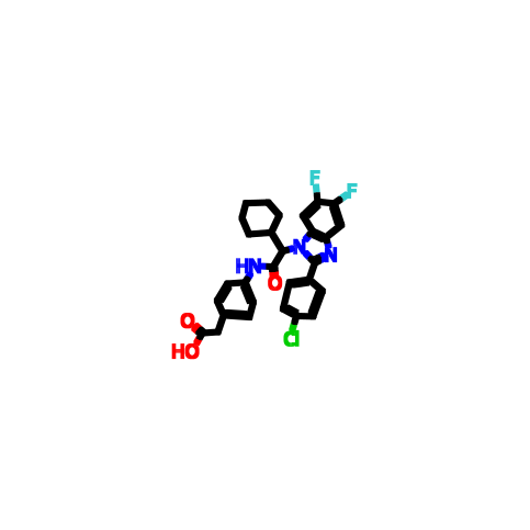 O=C(O)Cc1ccc(NC(=O)C(C2CCCCC2)n2c(-c3ccc(Cl)cc3)nc3cc(F)c(F)cc32)cc1